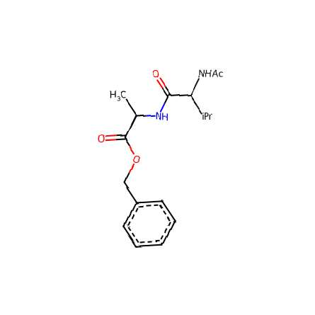 CC(=O)NC(C(=O)NC(C)C(=O)OCc1ccccc1)C(C)C